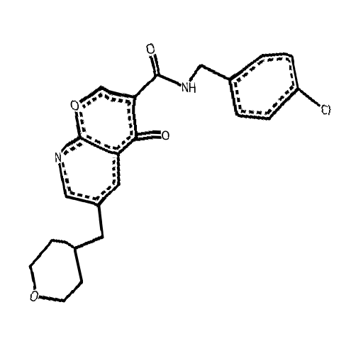 O=C(NCc1ccc(Cl)cc1)c1coc2ncc(CC3CCOCC3)cc2c1=O